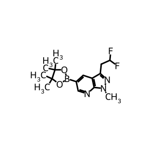 Cn1nc(CC(F)F)c2cc(B3OC(C)(C)C(C)(C)O3)cnc21